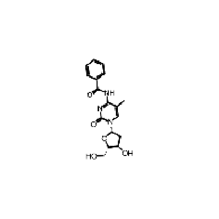 Cc1cn([C@@H]2C[C@@H](O)[C@H](CO)O2)c(=O)nc1NC(=O)c1ccccc1